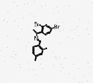 Cc1ccc(C=NC(C)c2ccc(Br)cc2Br)c(C)c1